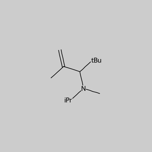 C=C(C)C(N(C)C(C)C)C(C)(C)C